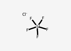 F[S+](F)(F)(F)F.[Cl-]